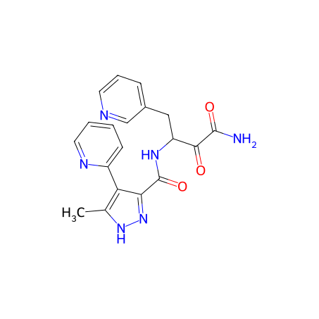 Cc1[nH]nc(C(=O)NC(Cc2cccnc2)C(=O)C(N)=O)c1-c1ccccn1